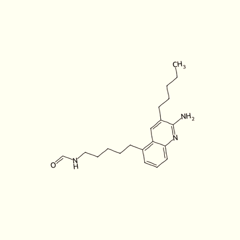 CCCCCc1cc2c(CCCCCNC=O)cccc2nc1N